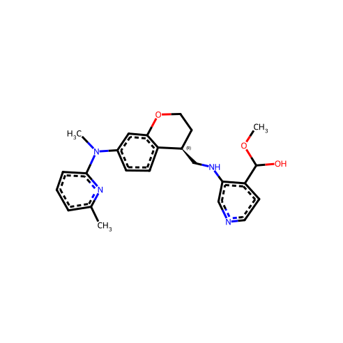 COC(O)c1ccncc1NC[C@@H]1CCOc2cc(N(C)c3cccc(C)n3)ccc21